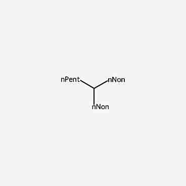 CCCCCCCCCC(CCCCC)CCCCCCCCC